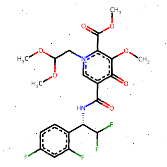 COC(=O)c1c(OC)c(=O)c(C(=O)N[C@@H](c2ccc(F)cc2F)C(F)F)cn1CC(OC)OC